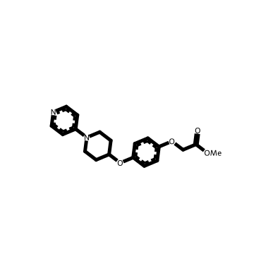 COC(=O)COc1ccc(OC2CCN(c3ccncc3)CC2)cc1